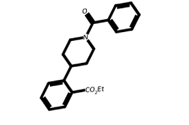 CCOC(=O)c1ccccc1C1CCN(C(=O)c2ccccc2)CC1